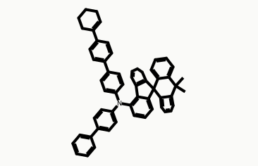 CC1(C)c2ccccc2C2(C3=C(C=CCC3)c3c(N(c4ccc(-c5ccccc5)cc4)c4ccc(-c5ccc(C6=CCCCC6)cc5)cc4)cccc32)c2ccccc21